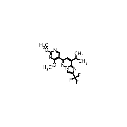 COc1ncc(-c2cc(C(C)C)c3nc(C(F)(F)F)cn3n2)c(OC)n1